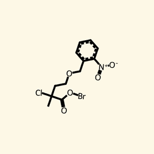 CC(Cl)(CCOCc1ccccc1[N+](=O)[O-])C(=O)OBr